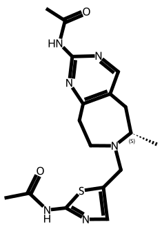 CC(=O)Nc1ncc2c(n1)CCN(Cc1cnc(NC(C)=O)s1)[C@@H](C)C2